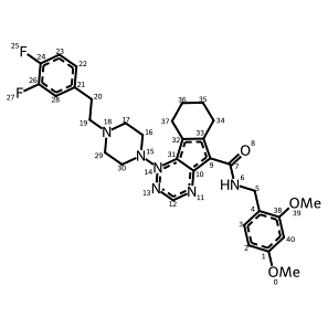 COc1ccc(CNC(=O)c2c3ncnn(N4CCN(CCc5ccc(F)c(F)c5)CC4)c-3c3c2CCCC3)c(OC)c1